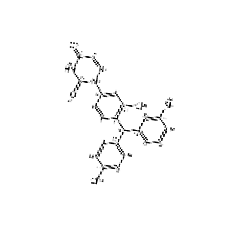 O=c1cnn(-c2ccc(C(c3ccc(Cl)cc3)c3cccc(S)c3)c(Cl)c2)c(=O)[nH]1